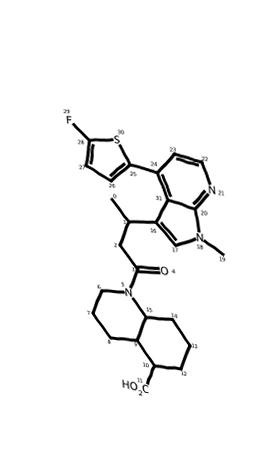 CC(CC(=O)N1CCCC2C(C(=O)O)CCCC21)c1cn(C)c2nccc(-c3ccc(F)s3)c12